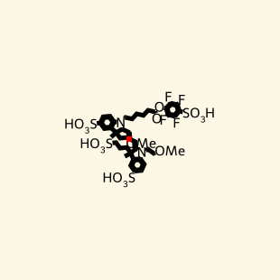 COCCN1/C(=C/C=C/C2N(CCCCCC(=O)Oc3c(F)c(F)c(S(=O)(=O)O)c(F)c3F)c3ccc(S(=O)(=O)O)cc3C2(C)CCOC)C(C)(CCCS(=O)(=O)O)c2cc(S(=O)(=O)O)ccc21